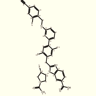 CC(=O)N1C[C@@H](F)[C@H](n2c(Cc3cc(F)c(-c4cccc(OCc5ccc(C#N)cc5F)n4)cc3F)nc3ccc(C(=O)O)cc32)C1